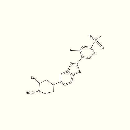 CCC1CC(c2ccc3nc(-c4ccc(S(C)(=O)=O)cc4F)oc3c2)CCN1C(=O)O